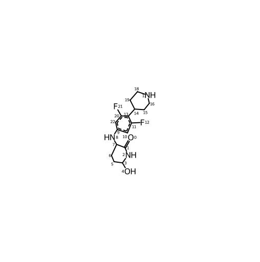 O=C1NC(O)CCC1Nc1cc(F)c(C2CCNCC2)c(F)c1